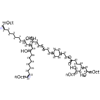 CCCCCCCC/C=C\CCCCCC[C@H](O)CN(C[C@@H](O)CCCCCC/C=C\CCCCCCCC)C(C)CCSSCCN1CCN(CCOC(=O)CCCN(CC(O)CCCCCCCC)CC(O)CCCCCCCC)CC1